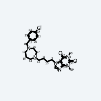 Cn1c(=O)c2c(ncn2CCCCN2CCCN(Cc3ccc(Cl)cc3)CC2)n(C)c1=O